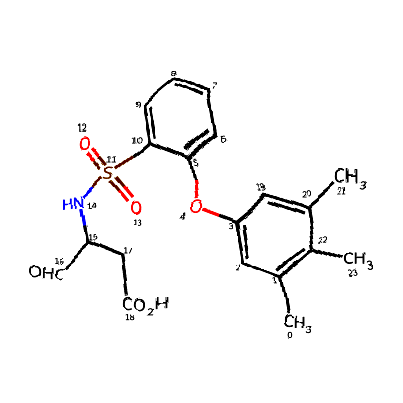 Cc1cc(Oc2ccccc2S(=O)(=O)NC(C=O)CC(=O)O)cc(C)c1C